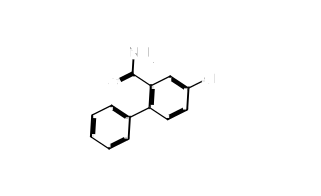 Cc1ccc(-c2ccccc2)c(C(N)=O)c1